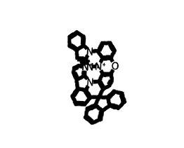 c1ccc2c(c1)-c1ccccc1C21c2ccc3c4c2-n2c5c1cccc5c1ccc[n+](c12)[N+]41c2c(cccc2-n2c4ccccc4c4ccc[n+]1c42)O3